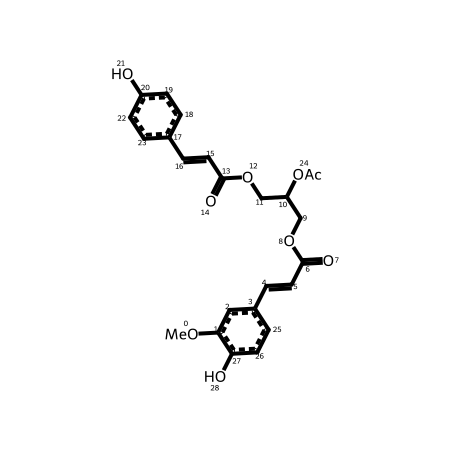 COc1cc(C=CC(=O)OCC(COC(=O)C=Cc2ccc(O)cc2)OC(C)=O)ccc1O